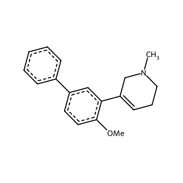 COc1ccc(-c2ccccc2)cc1C1=CCCN(C)C1